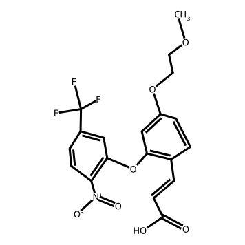 COCCOc1ccc(/C=C/C(=O)O)c(Oc2cc(C(F)(F)F)ccc2[N+](=O)[O-])c1